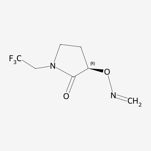 C=NO[C@@H]1CCN(CC(F)(F)F)C1=O